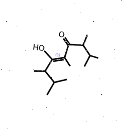 C/C(C(=O)C(C)C(C)C)=C(/O)C(C)C(C)C